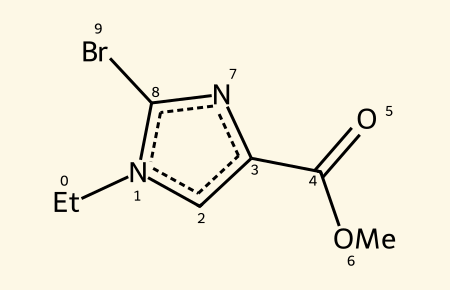 CCn1cc(C(=O)OC)nc1Br